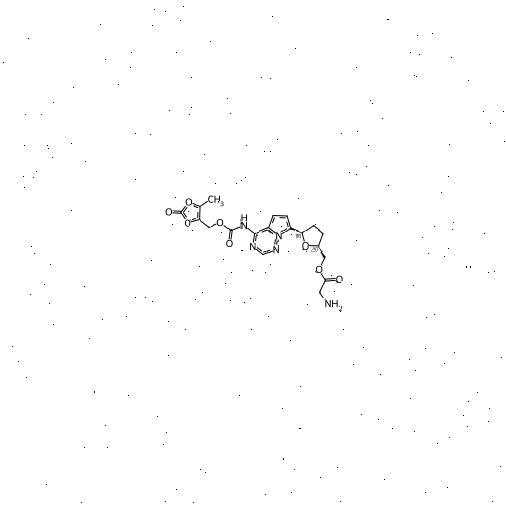 Cc1oc(=O)oc1COC(=O)Nc1ncnn2c([C@H]3CC[C@@H](COC(=O)CN)O3)ccc12